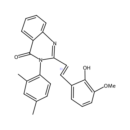 COc1cccc(/C=C/c2nc3ccccc3c(=O)n2-c2ccc(C)cc2C)c1O